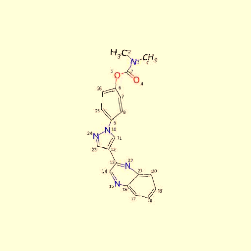 CN(C)C(=O)Oc1ccc(-n2cc(-c3cnc4ccccc4n3)cn2)cc1